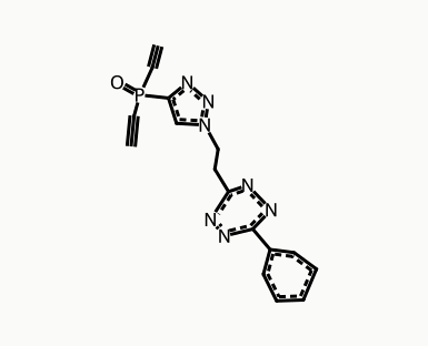 C#CP(=O)(C#C)c1cn(CCc2nnc(-c3ccccc3)nn2)nn1